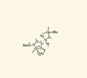 [2H]C([2H])(O[Si](C)(C)C(C)(C)C)[C@H]1OC(OC)[C@](C)(OC(C)=O)[C@@H]1C